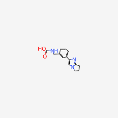 O=C(O)NCc1cccc(-c2cn3c(n2)CCC3)c1